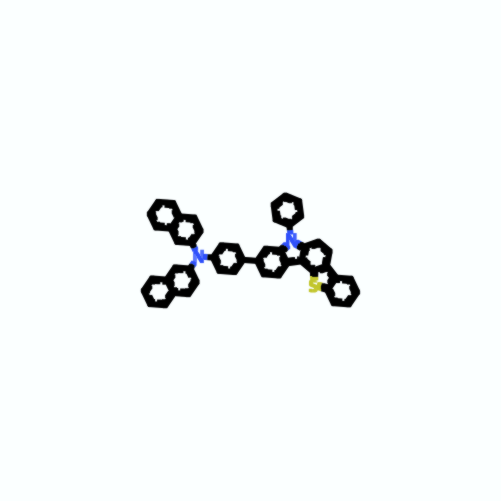 c1ccc(-n2c3cc(-c4ccc(N(c5ccc6ccccc6c5)c5ccc6ccccc6c5)cc4)ccc3c3c4sc5ccccc5c4ccc32)cc1